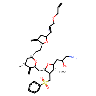 C=CCOC/C=C/C1CC(=C)[C@H](CC[C@H]2C[C@@H](C)C(=C)C(C[C@@H]3OC(CC(O)CN)[C@H](OC)C3CS(=O)(=O)c3ccccc3)O2)O1